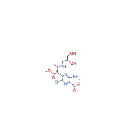 COC(=O)C(=C(C)NCC(O)CO)c1nc(N)c([N+](=O)[O-])nc1Cl